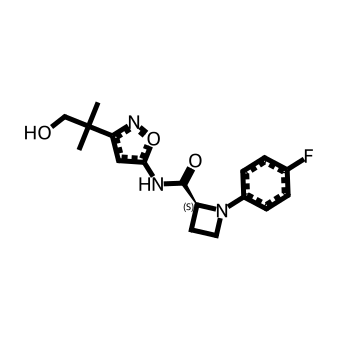 CC(C)(CO)c1cc(NC(=O)[C@@H]2CCN2c2ccc(F)cc2)on1